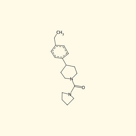 CCc1ccc(C2CCN(C(=O)N3CCCC3)CC2)cc1